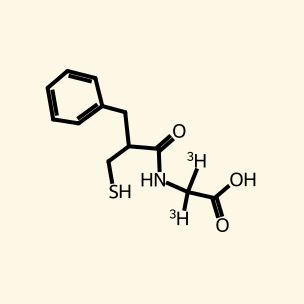 [3H]C([3H])(NC(=O)C(CS)Cc1ccccc1)C(=O)O